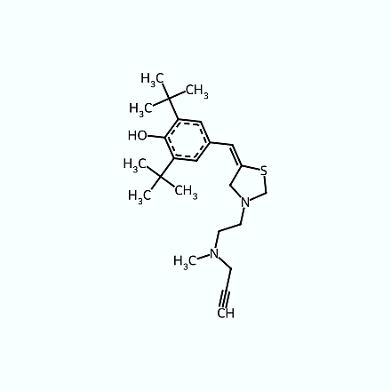 C#CCN(C)CCN1CSC(=Cc2cc(C(C)(C)C)c(O)c(C(C)(C)C)c2)C1